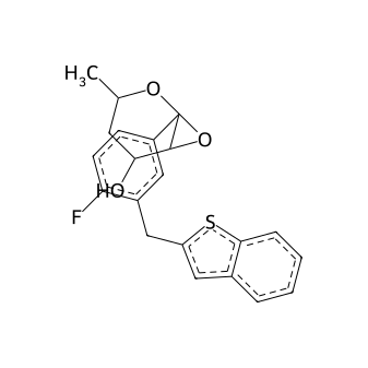 CC1CC(O)C2OC2(c2ccc(F)c(Cc3cc4ccccc4s3)c2)O1